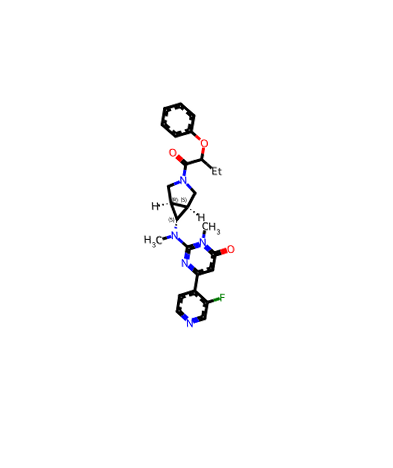 CCC(Oc1ccccc1)C(=O)N1C[C@@H]2[C@H](C1)[C@H]2N(C)c1nc(-c2ccncc2F)cc(=O)n1C